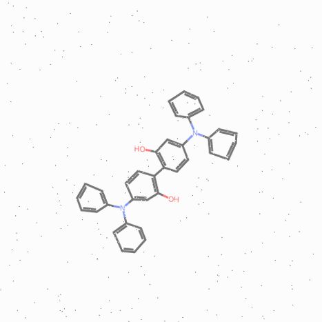 Oc1cc(N(c2ccccc2)c2ccccc2)ccc1-c1ccc(N(c2ccccc2)c2ccccc2)cc1O